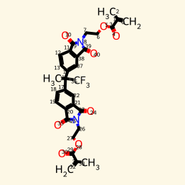 C=C(C)C(=O)OCCN1C(=O)c2ccc(C(C)(c3ccc4c(c3)C(=O)N(CCOC(=O)C(=C)C)C4=O)C(F)(F)F)cc2C1=O